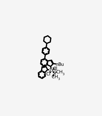 CCCCC1=Cc2c(-c3ccc(C4CCCCC4)cc3)cccc2[CH]1[Zr]([Cl])([Cl])([CH]1C=Cc2ccccc21)[SiH](C)C